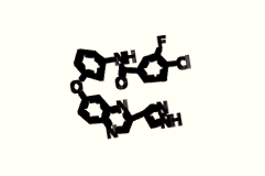 O=C(Nc1cccc(Oc2ccc3ncc(-c4cn[nH]c4)nc3c2)c1)c1ccc(Cl)c(F)c1